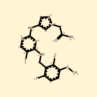 COc1ccc(F)c(CNc2nc(Nc3cnn(CC(N)=O)c3)ncc2F)c1F